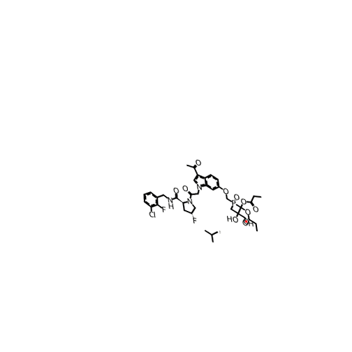 CCC(=O)OC1(OC(=O)CC)C(O)(CO)CP1(=O)COc1ccc2c(C(C)=O)cn(CC(=O)N3C[C@H](F)C[C@H]3C(=O)NCc3cccc(Cl)c3F)c2c1.[CH]C(C)C